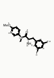 COc1ccc(N(C)C(=O)[C@@H](N)Cc2cc(F)cc(F)c2)cn1